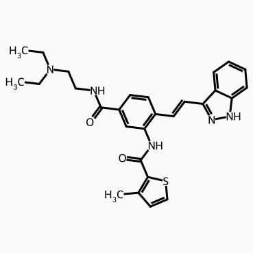 CCN(CC)CCNC(=O)c1ccc(C=Cc2n[nH]c3ccccc23)c(NC(=O)c2sccc2C)c1